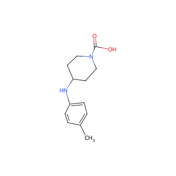 Cc1ccc(NC2CCN(C(=O)O)CC2)cc1